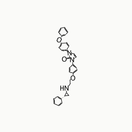 O=c1n(-c2ccc(OCCN[C@H]3C[C@@H]3c3ccccc3)cc2)ccn1-c1ccc(Oc2ccccc2)cc1